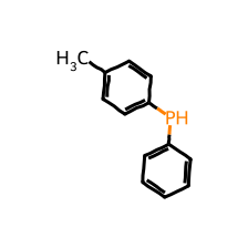 Cc1ccc(Pc2ccccc2)cc1